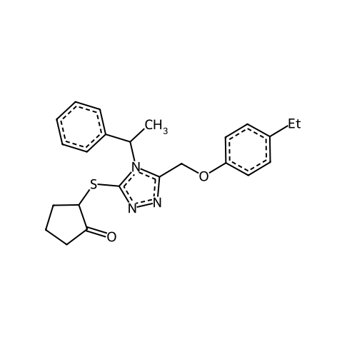 CCc1ccc(OCc2nnc(SC3CCCC3=O)n2C(C)c2ccccc2)cc1